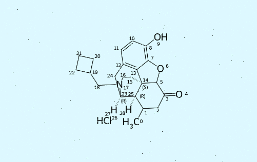 CC1CC(=O)C2Oc3c(O)ccc4c3[C@@]23CCN(CC2CCC2)[C@H](C4)[C@H]13.Cl